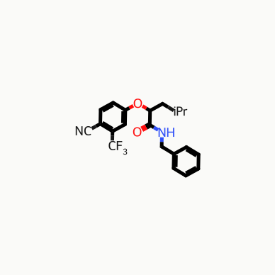 CC(C)CC(Oc1ccc(C#N)c(C(F)(F)F)c1)C(=O)NCc1ccccc1